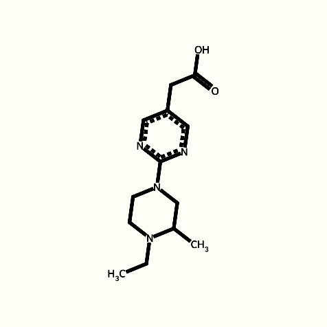 CCN1CCN(c2ncc(CC(=O)O)cn2)CC1C